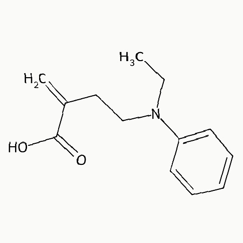 C=C(CCN(CC)c1ccccc1)C(=O)O